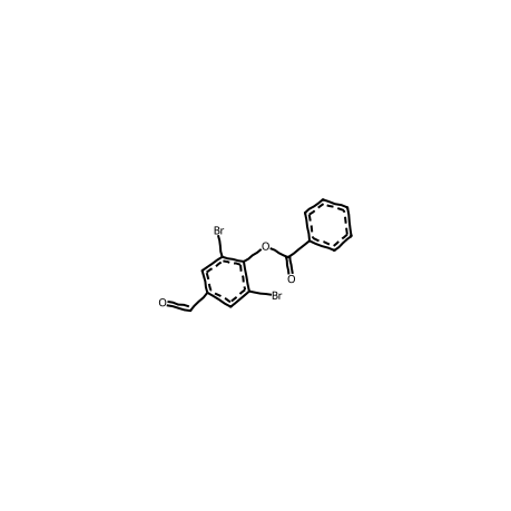 O=Cc1cc(Br)c(OC(=O)c2ccccc2)c(Br)c1